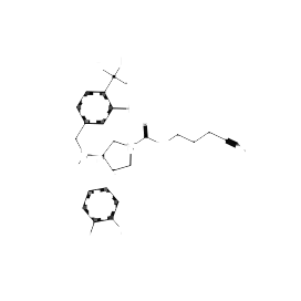 CN(Cc1ccc(C(F)(F)F)c(F)c1)[C@H]1CN(C(=O)OCCCC#N)C[C@@H]1c1ccc(Cl)c(Cl)c1